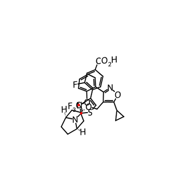 O=C(O)c1ccc(-c2csc(N3[C@@H]4CC[C@H]3C[C@H](OCc3c(-c5ccccc5OC(F)(F)F)noc3C3CC3)C4)n2)c(F)c1